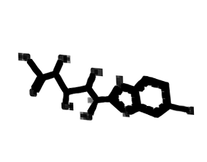 O=C(O)C(O)C(O)C(O)[C@H](O)c1nc2cc(Cl)ccc2[nH]1